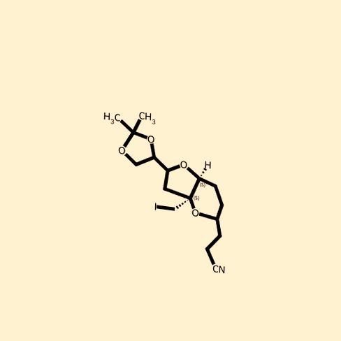 CC1(C)OCC(C2C[C@]3(CI)OC(CCC#N)CC[C@@H]3O2)O1